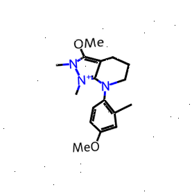 COc1ccc(N2CCCc3c(OC)n(C)[n+](C)c32)c(C)c1